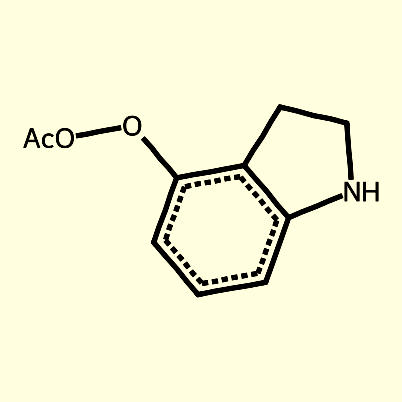 CC(=O)OOc1cccc2c1CCN2